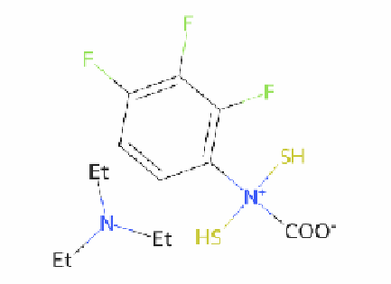 CCN(CC)CC.O=C([O-])[N+](S)(S)c1ccc(F)c(F)c1F